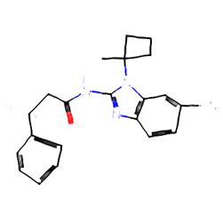 C[C@H](CC(=O)Nc1nc2ccc(C#N)cc2n1C1(C)CCC1)c1ccccc1